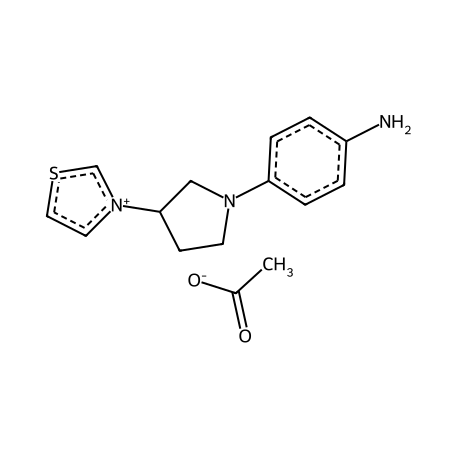 CC(=O)[O-].Nc1ccc(N2CCC([n+]3ccsc3)C2)cc1